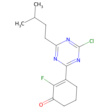 CC(C)CCc1nc(Cl)nc(C2=C(F)C(=O)CCC2)n1